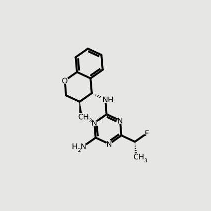 C[C@@H](F)c1nc(N)nc(N[C@H]2c3ccccc3OC[C@@H]2C)n1